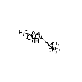 CN1CCC(O)(c2cnn(COCC[Si](C)(C)C)c2)C1=O